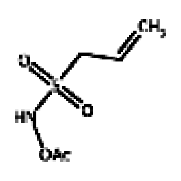 C=CCS(=O)(=O)NOC(C)=O